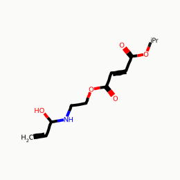 C=CC(O)NCCOC(=O)/C=C/C(=O)OC(C)C